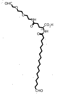 O=CCCCCCCCCCCCCCCCCC(=O)N[C@@H](CCC(=O)NCCOCCOCC=O)C(=O)O